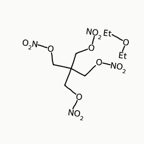 CCOCC.O=[N+]([O-])OCC(CO[N+](=O)[O-])(CO[N+](=O)[O-])CO[N+](=O)[O-]